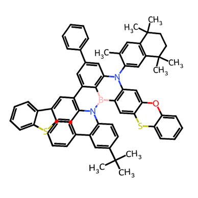 Cc1cc2c(cc1N1c3cc4c(cc3B3c5c(cc(-c6ccccc6)cc51)-c1cc5c(cc1N3c1ccc(C(C)(C)C)cc1-c1ccccc1)sc1ccccc15)Sc1ccccc1O4)C(C)(C)CCC2(C)C